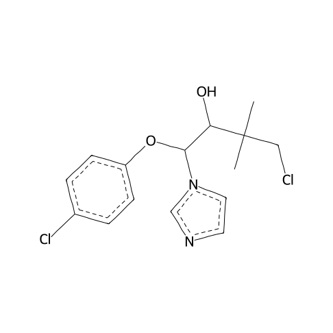 CC(C)(CCl)C(O)C(Oc1ccc(Cl)cc1)n1ccnc1